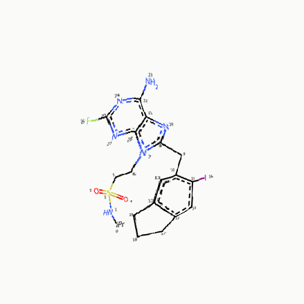 CC(C)NS(=O)(=O)CCn1c(Cc2cc3c(cc2I)CCC3)nc2c(N)nc(F)nc21